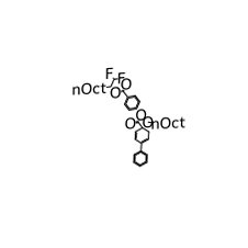 CCCCCCCCOC1(C(=O)Oc2ccc(C(=O)OC(CCCCCCCC)C(F)F)cc2)C=CC(c2ccccc2)=CC1